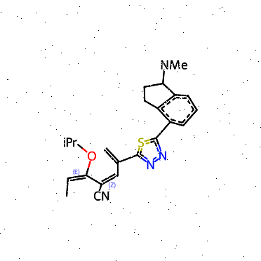 C=C(/C=C(C#N)\C(=C/C)OC(C)C)c1nnc(-c2cccc3c2CCC3NC)s1